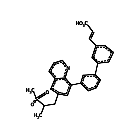 CC(Cc1cc(-c2cccc(-c3cccc(C=CC(=O)O)c3)c2)c2ncccc2c1)S(C)(=O)=O